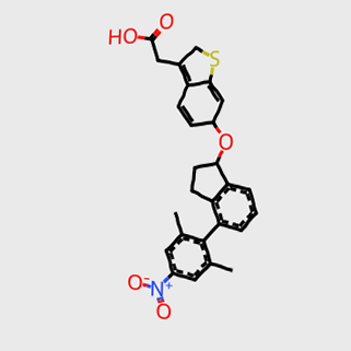 Cc1cc([N+](=O)[O-])cc(C)c1-c1cccc2c1CCC2OC1C=CC2=C(CC(=O)O)CSC2=C1